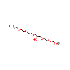 CCOCCOCCOCC(O)COCCOCCOCCO